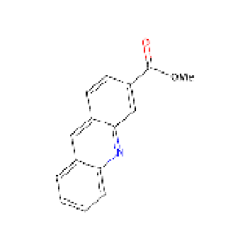 COC(=O)c1ccc2cc3ccccc3nc2c1